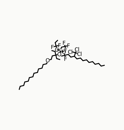 CCCCCCCCCCCCCOCCC(CC)(CC)O[Si](CC(F)(F)F)(OC(C)(F)CCC(CCCCCCCCCC)C(Cl)(Cl)Cl)OC(F)(F)CC